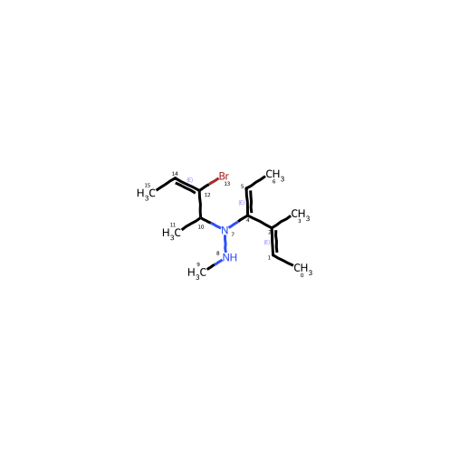 C/C=C(C)/C(=C\C)N(NC)C(C)/C(Br)=C\C